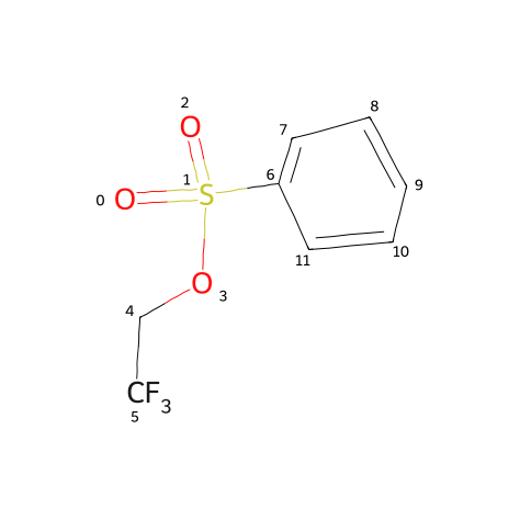 O=S(=O)(OCC(F)(F)F)c1ccccc1